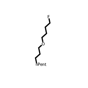 [CH2]CCCCCCCOCCCCF